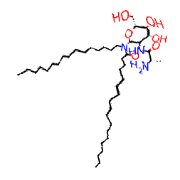 CCCCCCCCCCCCCCCCCC(=O)N(CCCCCCCCCCCCCCCC)[C@@H]1O[C@H](CO)[C@@H](O)[C@H](O)[C@H]1NC(=O)[C@H](C)N